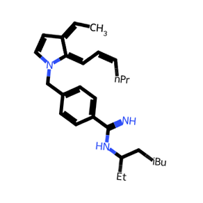 C/C=c1/ccn(Cc2ccc(C(=N)NC(CC)CC(C)CC)cc2)/c1=C/C=C\CCC